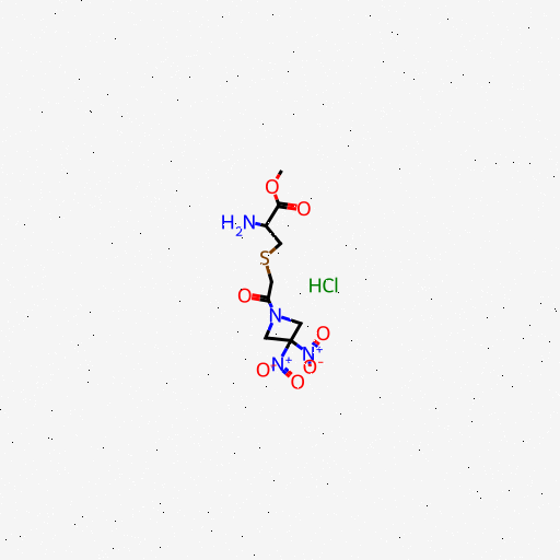 COC(=O)C(N)CSCC(=O)N1CC([N+](=O)[O-])([N+](=O)[O-])C1.Cl